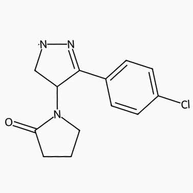 O=C1CCCN1C1C[N]N=C1c1ccc(Cl)cc1